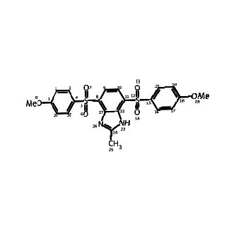 COc1ccc(S(=O)(=O)c2ccc(S(=O)(=O)c3ccc(OC)cc3)c3[nH]c(C)nc23)cc1